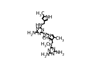 Cc1cc(CNc2nc(N)nc(N(C)Cn3cc(C)c(CN(C)c4nc(N)nc(N)n4)c3)n2)c[nH]1